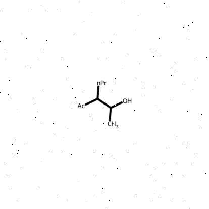 CCCC(C(C)=O)C(C)O